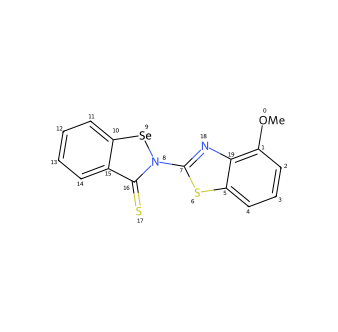 COc1cccc2sc(-n3[se]c4ccccc4c3=S)nc12